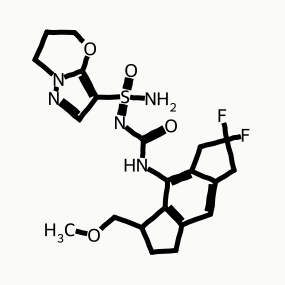 COCC1CCc2cc3c(c(NC(=O)N=S(N)(=O)c4cnn5c4OCCC5)c21)CC(F)(F)C3